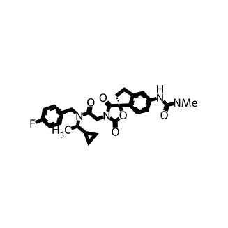 CNC(=O)Nc1ccc2c(c1)CC[C@@]21OC(=O)N(CC(=O)N(Cc2ccc(F)cc2)C(C)C2CC2)C1=O